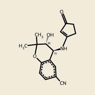 CC1(C)Oc2ccc(C#N)cc2[C@H](NC2=CC(=O)CC2)[C@H]1O